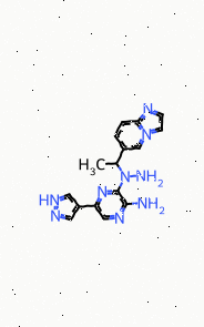 CC(c1ccc2nccn2c1)N(N)c1nc(-c2cn[nH]c2)cnc1N